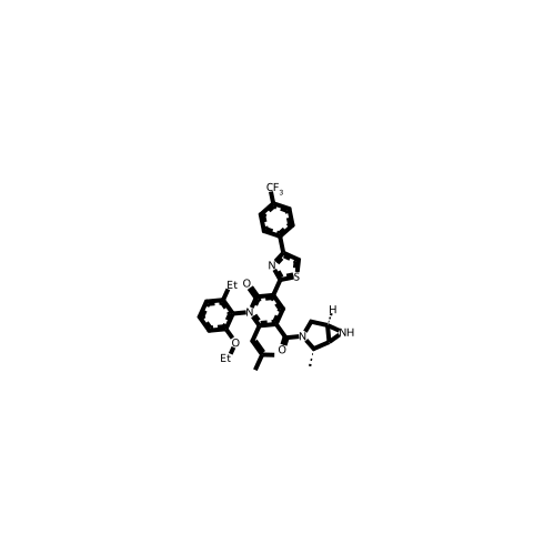 CCOc1cccc(CC)c1-n1c(C=C(C)C)c(C(=O)N2C[C@H]3NC3[C@@H]2C)cc(-c2nc(-c3ccc(C(F)(F)F)cc3)cs2)c1=O